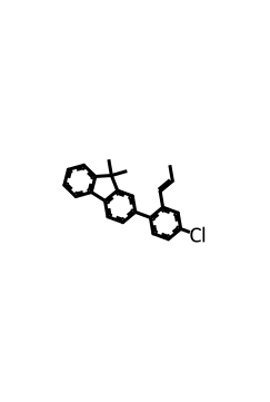 CC=Cc1cc(Cl)ccc1-c1ccc2c(c1)C(C)(C)c1ccccc1-2